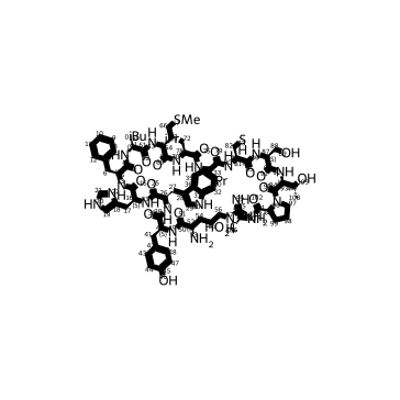 CC[C@H](C)[C@H](NC(=O)[C@H](Cc1ccccc1)NC(=O)[C@H](Cc1c[nH]cn1)NC(=O)[C@H](Cc1c[nH]c2ccccc12)NC(=O)[C@H](Cc1ccc(O)cc1)NC(=O)[C@@H](N)CCCNC(=N)N)C(=O)N[C@@H](CCSC)C(=O)N[C@@H](CC(C)C)C(=O)N[C@H](C(=O)N[C@@H](CS)C(=O)N[C@@H](CO)C(=O)N[C@H](C(=O)N1CCC[C@H]1C(=O)N[C@@H](C)C(=O)O)[C@@H](C)O)C(C)C